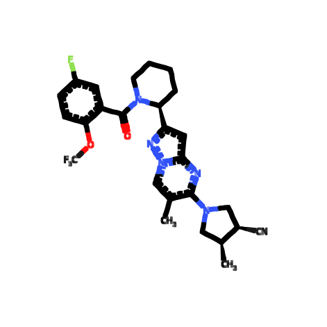 Cc1cn2nc([C@@H]3CCCCN3C(=O)c3cc(F)ccc3OC(F)(F)F)cc2nc1N1C[C@@H](C#N)[C@@H](C)C1